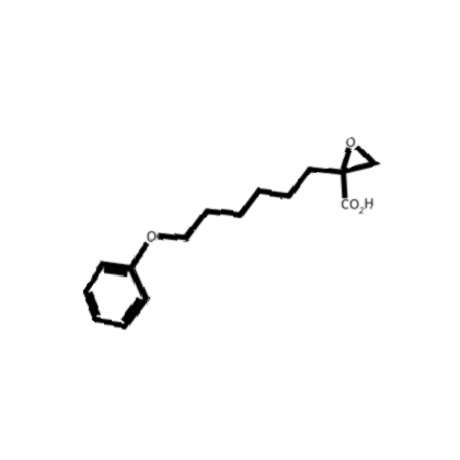 O=C(O)C1(CCCCCCOc2ccccc2)CO1